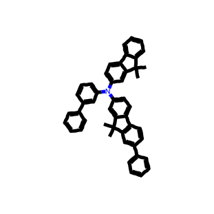 CC1(C)c2ccccc2-c2ccc(N(c3cccc(-c4ccccc4)c3)c3ccc4c(c3)C(C)(C)c3cc(-c5ccccc5)ccc3-4)cc21